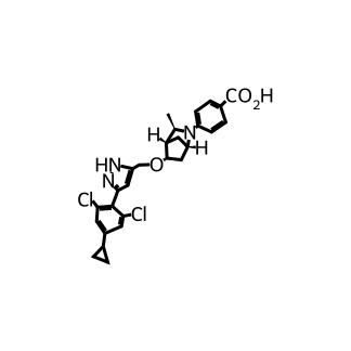 C[C@@H]1[C@@H]2C[C@@H](C[C@H]2OCc2cc(-c3c(Cl)cc(C4CC4)cc3Cl)n[nH]2)N1c1ccc(C(=O)O)cc1